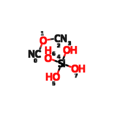 N#COC#N.O[Si](O)(O)O